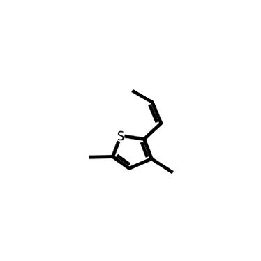 C/C=C\c1sc(C)cc1C